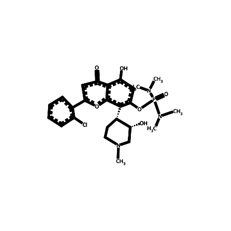 CN1CC[C@H](c2c(OP(=O)(N(C)C)N(C)C)cc(O)c3c(=O)cc(-c4ccccc4Cl)oc23)[C@H](O)C1